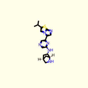 CC(C)c1cn2c(-c3cncc(N[C@@H]4C[C@@H]5CN[C@H]4C5)n3)cnc2s1